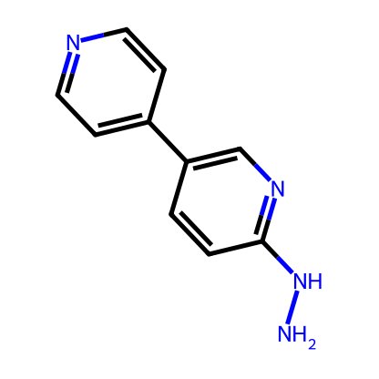 NNc1ccc(-c2ccncc2)cn1